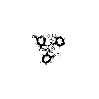 O=[N+]([O-])c1ccccc1S(=O)(=O)N(c1cnc(Cl)cc1Cl)S(=O)(=O)c1ccccc1[N+](=O)[O-]